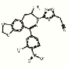 Cc1cc(C2=NN(c3nnc(CC#N)s3)C(C)Cc3cc4c(cc32)OCO4)ccc1[N+](=O)[O-]